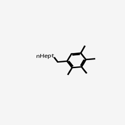 [CH2]CCCCCCCc1cc(C)c(C)c(C)c1C